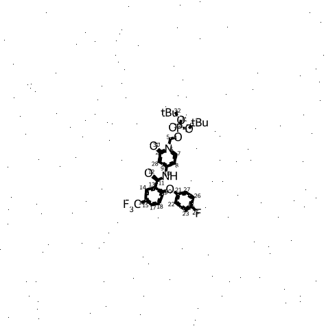 CC(C)(C)OP(=O)(OCn1ccc(NC(=O)c2cc(C(F)(F)F)ccc2Oc2ccc(F)cc2)cc1=O)OC(C)(C)C